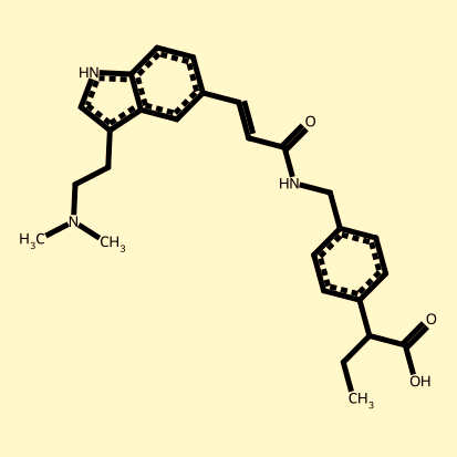 CCC(C(=O)O)c1ccc(CNC(=O)C=Cc2ccc3[nH]cc(CCN(C)C)c3c2)cc1